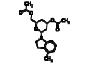 CC(=O)OCC1CC(OC(C)=O)CC(N2CCc3c(C)cccc32)O1